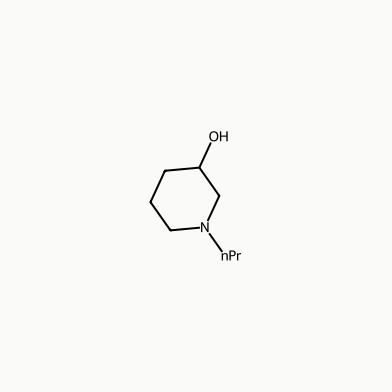 C[CH]CN1CCCC(O)C1